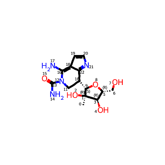 C[C@@]1(O)[C@H](O)[C@@H](CO)O[C@H]1C1CN(C(N)=O)C(N)=C2C=CN=C21